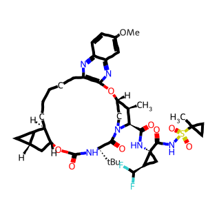 COc1ccc2nc3c(nc2c1)O[C@H]1CN(C(=O)[C@H](C(C)(C)C)NC(=O)O[C@@H]2C[C@@H]4CC4[C@H]2CCCCC3)[C@H](C(=O)N[C@]2(C(=O)NS(=O)(=O)C3(C)CC3)C[C@H]2C(F)F)[C@@H]1C